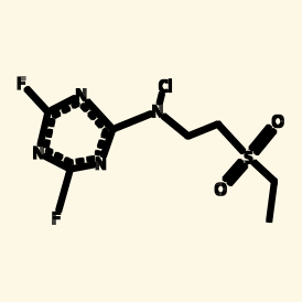 CCS(=O)(=O)CCN(Cl)c1nc(F)nc(F)n1